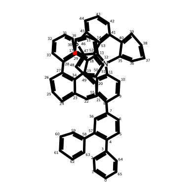 c1ccc(-c2ccc(-c3ccc(N(c4ccccc4-c4cccc5cccc(-c6ccccc6)c45)c4ccccc4-c4cccc5sc6ccccc6c45)cc3)cc2-c2ccccc2)cc1